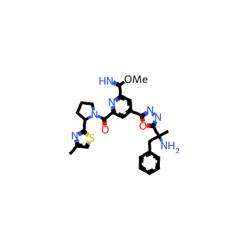 COC(=N)c1cc(-c2nnc(C(C)(N)Cc3ccccc3)o2)cc(C(=O)N2CCCC2c2nc(C)cs2)n1